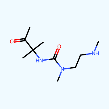 CNCCN(C)C(=O)NC(C)(C)C(C)=O